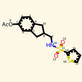 CC(=O)Oc1ccc2c(c1)CC(CNS(=O)(=O)c1cccs1)C2